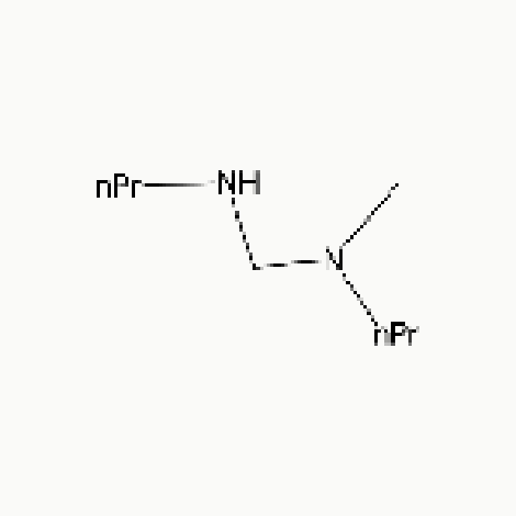 CCCNCN(C)CCC